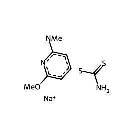 CNc1cccc(OC)n1.NC(=S)[S-].[Na+]